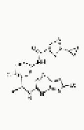 CCn1cc2ncc(N[C@@H](C)c3cc(NC(=O)c4cnc(C5CC5)s4)ccc3F)nc2n1